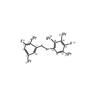 CC(C)c1cc(F)c(C(C)C)c(CCc2cc(C(C)C)c(F)c(C(C)C)c2C(C)C)c1